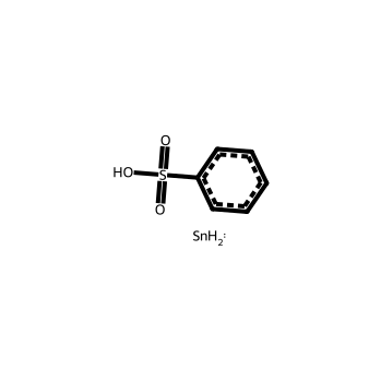 O=S(=O)(O)c1ccccc1.[SnH2]